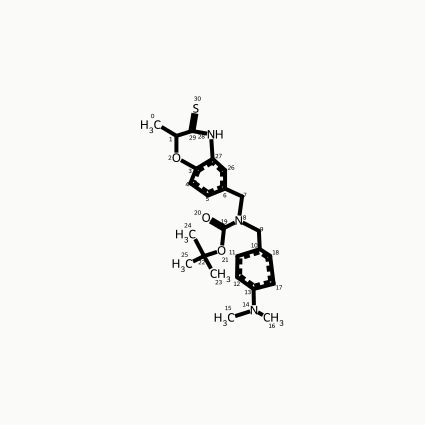 CC1Oc2ccc(CN(Cc3ccc(N(C)C)cc3)C(=O)OC(C)(C)C)cc2NC1=S